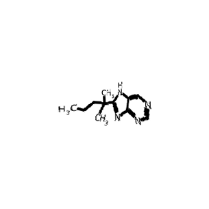 CCCC(C)(C)c1nc2ncncc2[nH]1